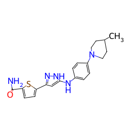 CC1CCN(c2ccc(Nc3cc(-c4ccc(C(N)=O)s4)n[nH]3)cc2)CC1